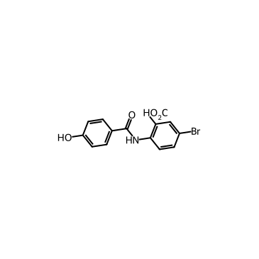 O=C(Nc1ccc(Br)cc1C(=O)O)c1ccc(O)cc1